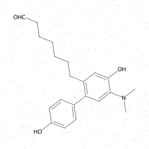 CN(C)c1cc(-c2ccc(O)cc2)c(CCCCCCC=O)cc1O